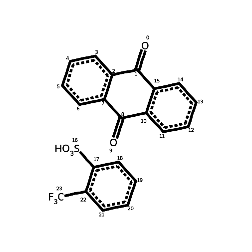 O=C1c2ccccc2C(=O)c2ccccc21.O=S(=O)(O)c1ccccc1C(F)(F)F